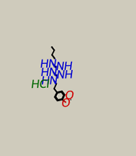 CCCCNC(=N)NC(=N)NCCc1ccc2c(c1)OCO2.Cl